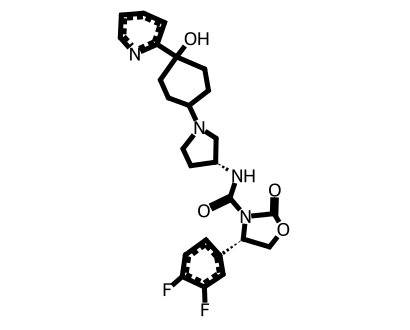 O=C(N[C@@H]1CCN(C2CCC(O)(c3ccccn3)CC2)C1)N1C(=O)OC[C@@H]1c1ccc(F)c(F)c1